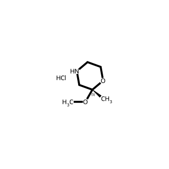 CO[C@]1(C)CNCCO1.Cl